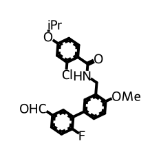 COc1ccc(-c2cc(C=O)ccc2F)cc1CNC(=O)c1ccc(OC(C)C)cc1Cl